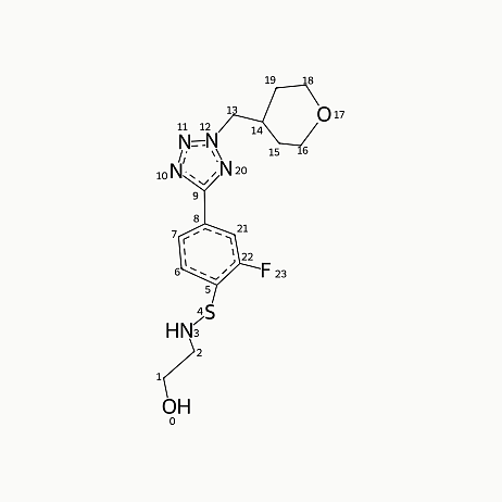 OCCNSc1ccc(-c2nnn(CC3CCOCC3)n2)cc1F